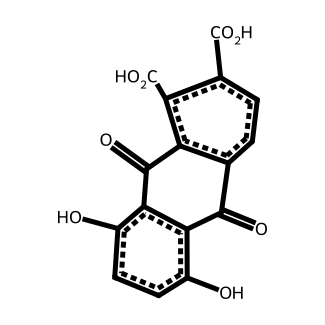 O=C(O)c1ccc2c(c1C(=O)O)C(=O)c1c(O)ccc(O)c1C2=O